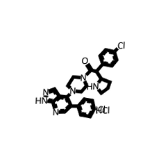 Cl.Cl.O=C(C(c1ccc(Cl)cc1)C1CCCN1)N1CCN(c2c(-c3ccccc3)cnc3[nH]ncc23)CC1